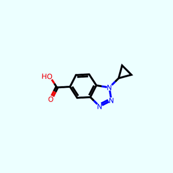 O=C(O)c1ccc2c(c1)nnn2C1CC1